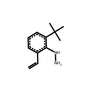 C=Cc1cccc(C(C)(C)C)c1NN